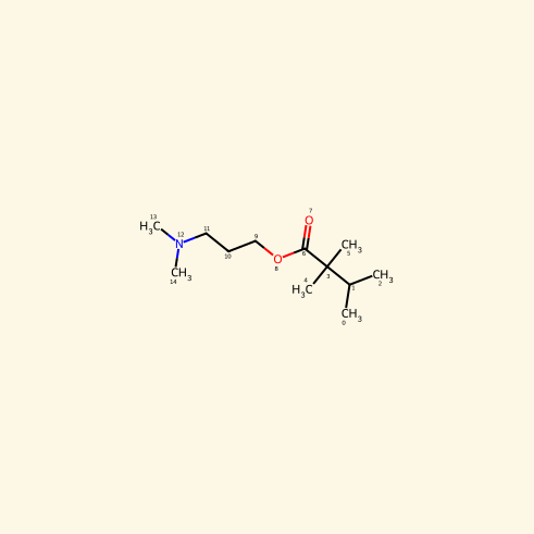 CC(C)C(C)(C)C(=O)OCCCN(C)C